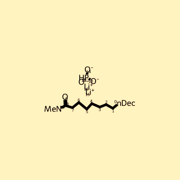 CCCCCCCCCCCCCCCCCC(=O)NC.O=[PH]([O-])[O-].[Li+].[Li+]